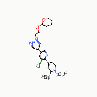 CC(C)(C)C1C=C(c2ncc(-c3cnn(CCOC4CCCCO4)c3)cc2Cl)CCN1C(=O)O